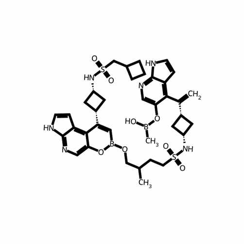 C=C(c1c(OB(C)O)cnc2[nH]ccc12)[C@H]1C[C@@H](NS(=O)(=O)CCC(C)COB2C=C([C@H]3C[C@@H](NS(=O)(=O)CC4CCC4)C3)c3c(cnc4[nH]ccc34)O2)C1